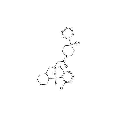 O=C(COCC1CCCCN1S(=O)(=O)c1c(Cl)cccc1Cl)N1CCC(O)(c2cccnc2)CC1